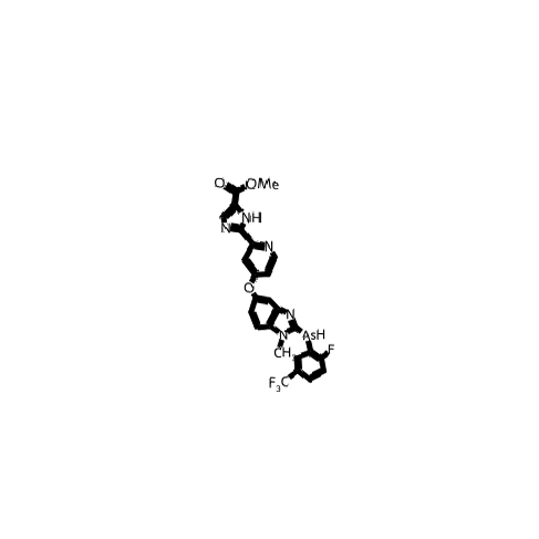 COC(=O)c1cnc(-c2cc(Oc3ccc4c(c3)nc([AsH]c3cc(C(F)(F)F)ccc3F)n4C)ccn2)[nH]1